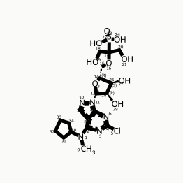 CN(c1nc(Cl)nc2c1cnn2[C@@H]1O[C@H](COC(CO)(CO)P(=O)(O)O)[C@@H](O)[C@H]1O)C1CCCC1